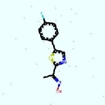 CC(=NO)c1ncc(-c2ccc(F)cc2)s1